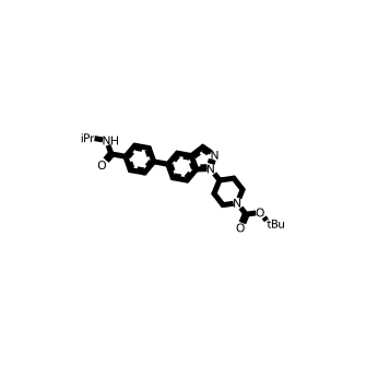 CC(C)NC(=O)c1ccc(-c2ccc3c(cnn3C3CCN(C(=O)OC(C)(C)C)CC3)c2)cc1